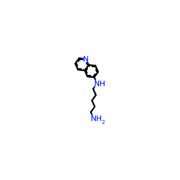 NCCCCCNc1ccc2ncccc2c1